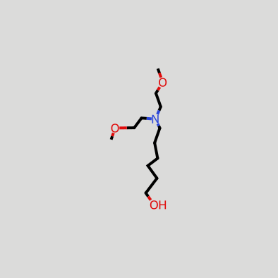 COCCN(CCCCCCO)CCOC